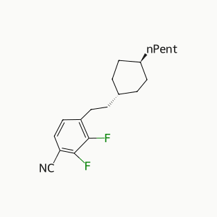 CCCCC[C@H]1CC[C@H](CCc2ccc(C#N)c(F)c2F)CC1